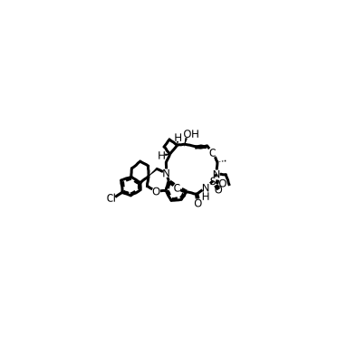 CCN1[C@@H](C)C/C=C/[C@H](O)[C@@H]2CC[C@H]2CN2C[C@@]3(CCCc4cc(Cl)ccc43)COc3ccc(cc32)C(=O)NS1(=O)=O